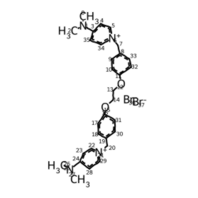 CN(C)c1cc[n+](Cc2ccc(OCCOc3ccc(C[n+]4ccc(N(C)C)cc4)cc3)cc2)cc1.[Br-].[Br-]